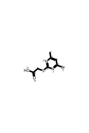 Cc1cc(Br)nc(SCC(=O)O)n1